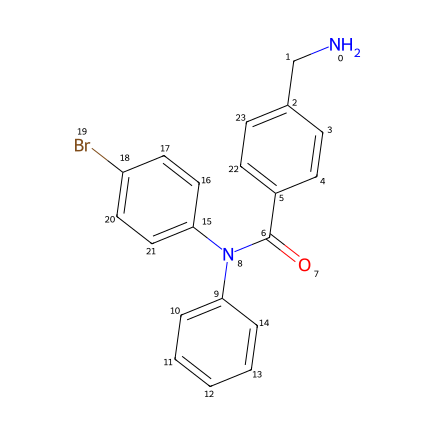 NCc1ccc(C(=O)N(c2ccccc2)c2ccc(Br)cc2)cc1